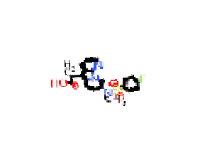 CC(C(=O)O)c1c2n(c3ncccc13)C[C@H](N(C)S(=O)(=O)c1ccc(F)cc1)C=C2